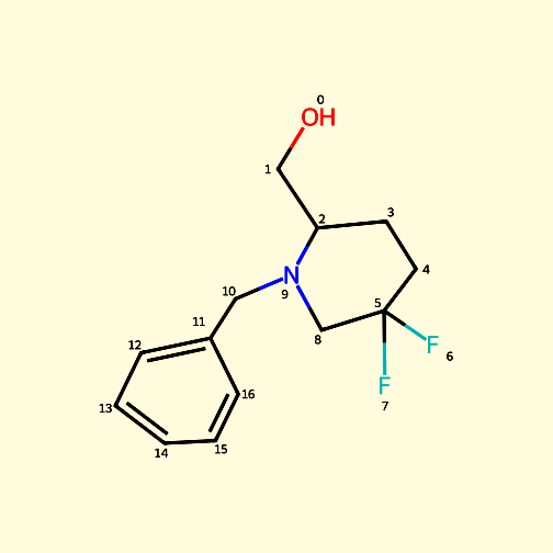 OCC1CCC(F)(F)CN1Cc1ccccc1